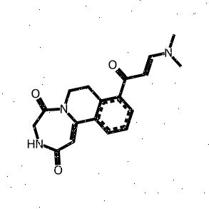 CN(C)/C=C/C(=O)c1cccc2c1CCN1C(=O)CNC(=O)C=C21